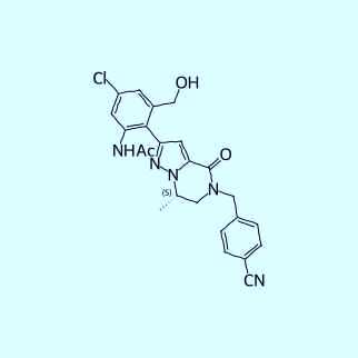 CC(=O)Nc1cc(Cl)cc(CO)c1-c1cc2n(n1)[C@@H](C)CN(Cc1ccc(C#N)cc1)C2=O